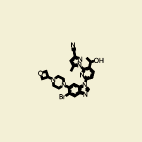 Cc1cc(C#N)nn1-c1nc(-n2cnc3cc(Br)c(N4CCN(C5COC5)CC4)cc32)ccc1C(C)O